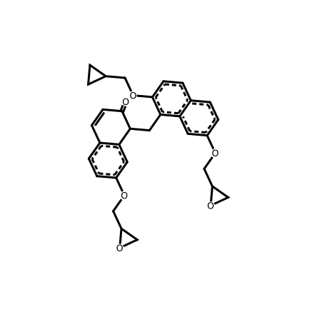 O=C1C=Cc2ccc(OCC3CO3)cc2C1Cc1c(OCC2CC2)ccc2ccc(OCC3CO3)cc12